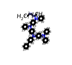 C=C/C=C\C=C(/C)N(c1ccccc1)c1ccc(N(c2ccccc2)c2ccc(N(c3ccc(-c4ccccc4)cc3)c3ccc(N(c4ccccc4)c4ccccc4)cc3)cc2)cc1